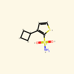 NS(=O)(=O)c1sccc1C1CCC1